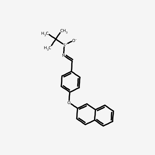 CC(C)(C)[S+]([O-])/N=C/c1ccc(Oc2ccc3ccccc3c2)cc1